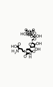 NC(CCn1cc([C@@H]2O[C@H](COP(=O)(O)OP(=O)(O)OP(=O)(O)O)[C@@H](O)[C@H]2O)c(=O)[nH]c1=O)C(=O)O